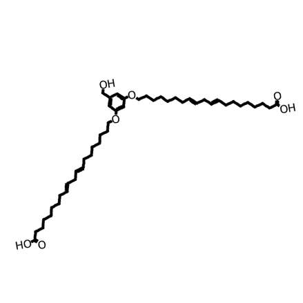 O=C(O)CCCCCCCC=CCC=CCCCCCCCOc1cc(CO)cc(OCCCCCCCC=CCC=CCCCCCCCC(=O)O)c1